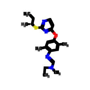 CC[C@@H](C)Sc1nccc(Oc2cc(C)c(N=CN(C)CC)cc2C)n1